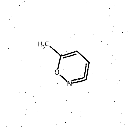 CC1=CC=C=NO1